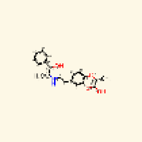 C[C@@H](Oc1ccc(CCN[C@H](C)[C@H](O)c2ccccc2)cc1)C(=O)O